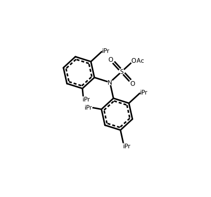 CC(=O)OS(=O)(=O)N(c1c(C(C)C)cccc1C(C)C)c1c(C(C)C)cc(C(C)C)cc1C(C)C